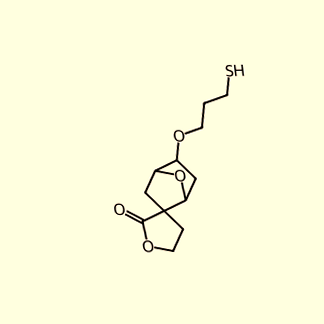 O=C1OCCC12CC1OC2CC1OCCCS